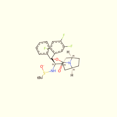 CC(C)(C)[S+]([O-])N[C@@H](Cc1cc(F)c(F)cc1F)[C@@H]1C[C@H]2CC[C@@H](C1)N2C(=O)OCc1ccccc1